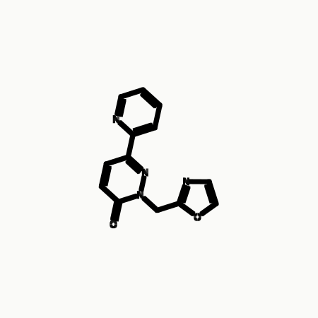 O=c1ccc(-c2ccccn2)nn1Cc1ncco1